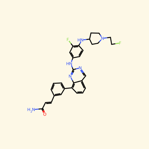 NC(=O)C=Cc1cccc(-c2cccc3cnc(Nc4ccc(NC5CCN(CCF)CC5)c(F)c4)nc23)c1